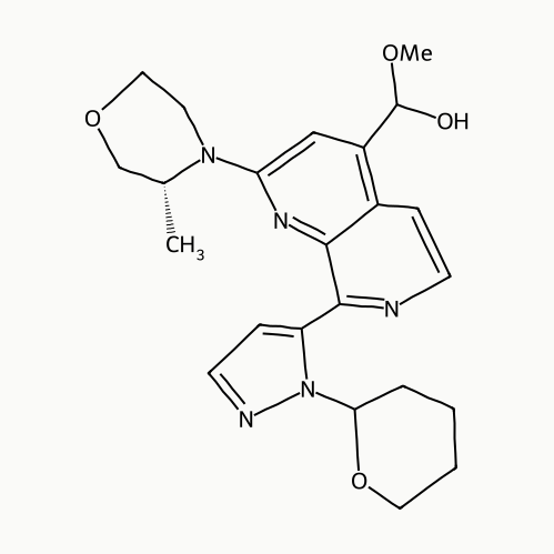 COC(O)c1cc(N2CCOC[C@H]2C)nc2c(-c3ccnn3C3CCCCO3)nccc12